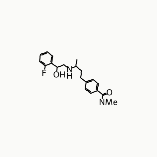 CNC(=O)c1ccc(CCC(C)NCC(O)c2ccccc2F)cc1